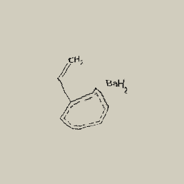 C=Cc1ccccc1.[BaH2]